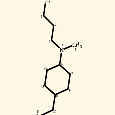 CC(C)CCCN(C)C1CCC(CC(C)C)CC1